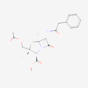 COC(=O)[C@@H]1N2C(=O)[C@@H](NC(=O)Cc3ccccc3)[C@@H]2S[C@@]1(C)COC(C)=O